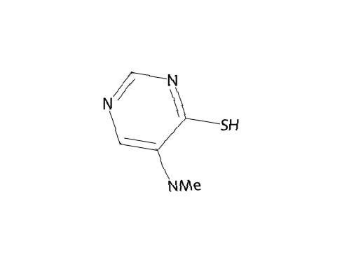 CNc1cncnc1S